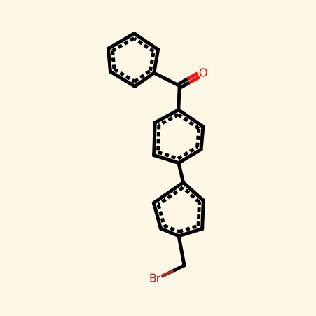 O=C(c1ccccc1)c1ccc(-c2ccc(CBr)cc2)cc1